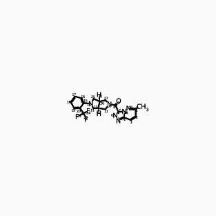 Cc1ccc2nnc(C(=O)N3C[C@@H]4CN(c5ccccc5C(F)(F)F)C[C@@H]4C3)n2n1